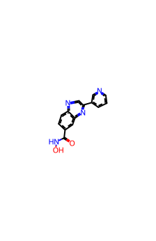 O=C(NO)c1ccc2ncc(-c3cccnc3)nc2c1